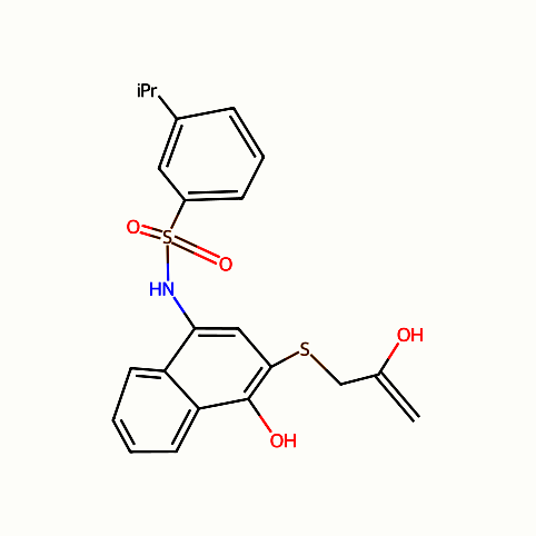 C=C(O)CSc1cc(NS(=O)(=O)c2cccc(C(C)C)c2)c2ccccc2c1O